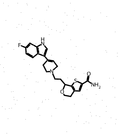 NC(=O)c1cc2c(s1)C(CCN1CC=C(c3c[nH]c4cc(F)ccc34)CC1)OCC2